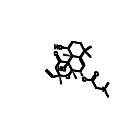 C=C[C@@]1(C)CC(=O)[C@@]2(O)[C@](C)(O1)[C@@H](OC(=O)CN(C)C)C=C1C(C)(C)CC[C@H](O)[C@@]12C